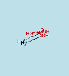 CCCCCCCCCCCCCC(=O)O.CCCCCCCCCCCCCCCCCC(=O)O.OCCO